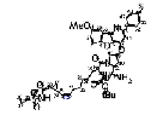 COc1ccc2oc3c(O[C@@H]4C[C@@H](C(N)=O)N(C(=O)[C@H](CCCCC/C=C\[C@@H]5C[C@@H]5C(=O)NS(=O)(=O)C5CC5)NC(=O)OC(C)(C)C)C4)cc(-c4ccc(C)cc4)nc3c2c1